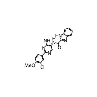 COc1ccc(-c2ncc(NC(=O)c3nc4ccccc4[nH]3)c(N)n2)cc1Cl